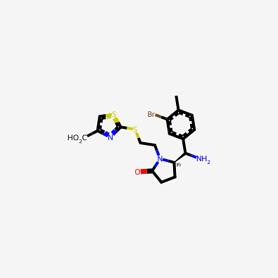 Cc1ccc(C(N)[C@H]2CCC(=O)N2CCSc2nc(C(=O)O)cs2)cc1Br